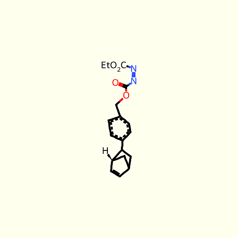 CCOC(=O)/N=N\C(=O)OCc1ccc(C2CC3C=C[C@H]2C3)cc1